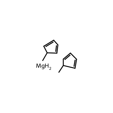 CC1C=CC=C1.CC1C=CC=C1.[MgH2]